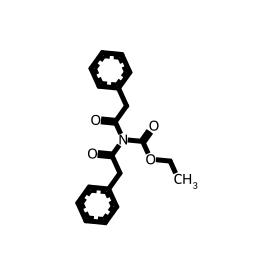 CCOC(=O)N(C(=O)Cc1ccccc1)C(=O)Cc1ccccc1